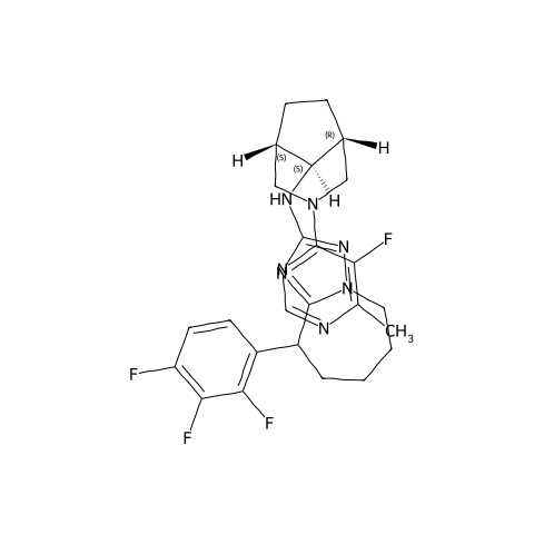 Cc1ncnc(N2C[C@H]3CC[C@@H](C2)[C@@H]3Nc2nc3n(n2)CCCCC3c2ccc(F)c(F)c2F)c1F